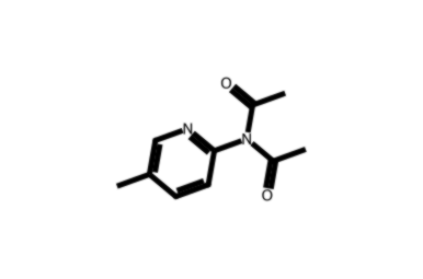 CC(=O)N(C(C)=O)c1ccc(C)cn1